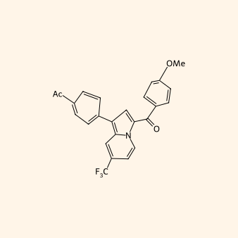 COc1ccc(C(=O)c2cc(-c3ccc(C(C)=O)cc3)c3cc(C(F)(F)F)ccn23)cc1